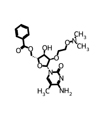 Cc1cn([C@@H]2O[C@H](COC(=O)c3ccccc3)[C@@H](O)[C@H]2OCCON(C)C)c(=O)nc1N